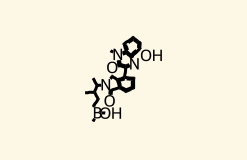 CB(O)CCC(C)C(C)N1Cc2c(cccc2-c2nc3c(O)cccc3n(C)c2=O)C1=O